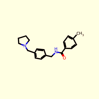 Cc1ccc(C(=O)NCc2ccc(CN3CCCC3)cc2)cc1